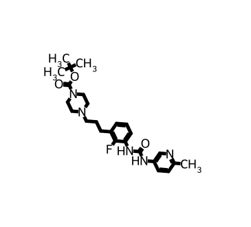 Cc1ccc(NC(=O)Nc2cccc(CCCN3CCN(C(=O)OC(C)(C)C)CC3)c2F)cn1